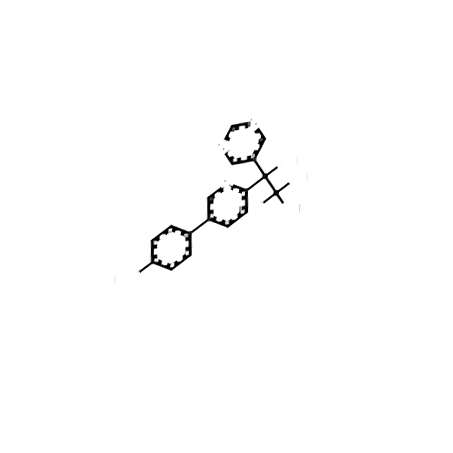 Cc1ccc(-c2ccc(C(O)(c3cncnc3)C(C)(C)C)nc2)cc1